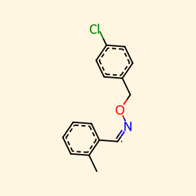 Cc1ccccc1/[C]=N\OCc1ccc(Cl)cc1